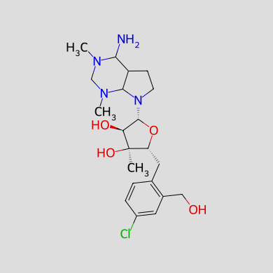 CN1CN(C)C2C(CCN2[C@@H]2O[C@H](Cc3ccc(Cl)cc3CO)[C@@](C)(O)[C@H]2O)C1N